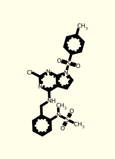 Cc1ccc(S(=O)(=O)n2ccc3c(NCc4ccccc4N(C)S(C)(=O)=O)nc(Cl)nc32)cc1